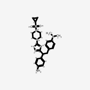 CN(C)c1ccc(CC(c2ccc(N)cc2)c2nsc(N3CCN(S(=O)(=O)C4CC4)CC3)n2)cc1